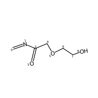 C=NC(=O)COCCO